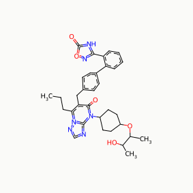 CCCc1c(Cc2ccc(-c3ccccc3-c3noc(=O)[nH]3)cc2)c(=O)n(C2CCC(OC(C)C(C)O)CC2)c2ncnn12